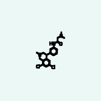 CN(C)CC(=O)Nc1cccc(C2CN(C)Cc3c(Cl)cc(Cl)cc32)c1